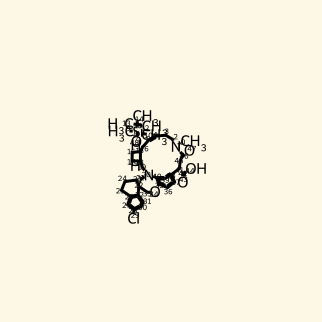 CN1CCC=C[C@H](O[Si](C)(C)C(C)(C)C)[C@@H]2CC[C@H]2CN2C[C@@]3(CCCc4cc(Cl)ccc43)COc3ccc(cc32)[C@@H](C(=O)O)CC1=O